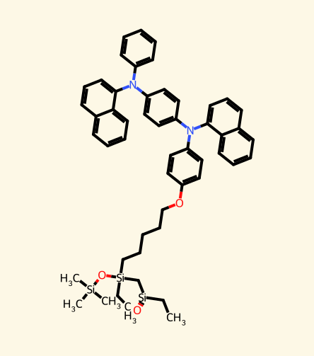 CC[Si](=O)C[Si](CC)(CCCCCOc1ccc(N(c2ccc(N(c3ccccc3)c3cccc4ccccc34)cc2)c2cccc3ccccc23)cc1)O[Si](C)(C)C